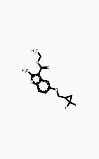 CCOC(=O)c1c(C)oc2ccc(OCC3CC3(F)F)cc12